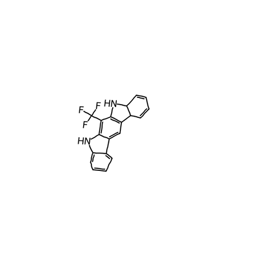 FC(F)(F)c1c2c(cc3c1[nH]c1ccccc13)C1C=CC=CC1N2